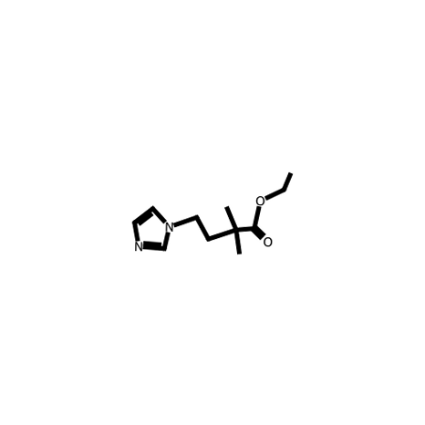 CCOC(=O)C(C)(C)CCn1ccnc1